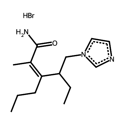 Br.CCCC(=C(C)C(N)=O)C(CC)Cn1ccnc1